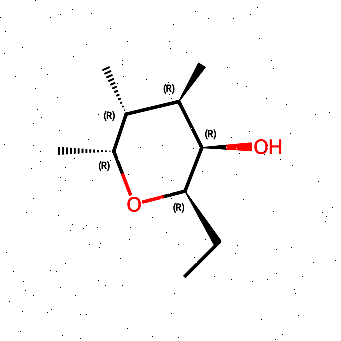 CC[C@H]1O[C@H](C)[C@H](C)[C@@H](C)[C@H]1O